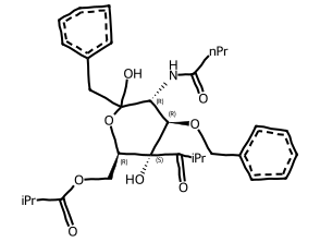 CCCC(=O)N[C@@H]1[C@@H](OCc2ccccc2)[C@@](O)(C(=O)C(C)C)[C@@H](COC(=O)C(C)C)OC1(O)Cc1ccccc1